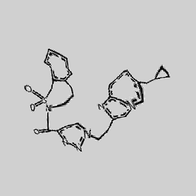 O=C(c1cn(Cc2cn3cc(C4CC4)ccc3n2)nn1)N1Cc2ccccc2S1(=O)=O